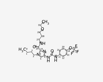 CCCCn1cc(NC(=O)Nc2ccc(OC(F)(F)F)cc2)nc1C(=O)NCCCOCC